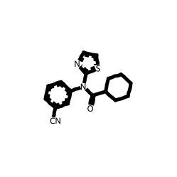 N#Cc1cccc(N(C(=O)C2CCCCC2)c2nccs2)c1